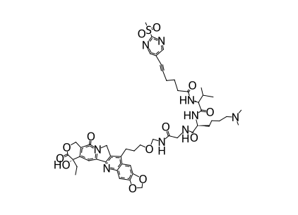 CC[C@@]1(O)C(=O)OCc2c1cc1n(c2=O)Cc2c-1nc1cc3c(cc1c2CCCOCNC(=O)CNC(=O)[C@H](CCCCN(C)C)NC(=O)[C@@H](NC(=O)CCCC#Cc1cnc(S(C)(=O)=O)nc1)C(C)C)OCO3